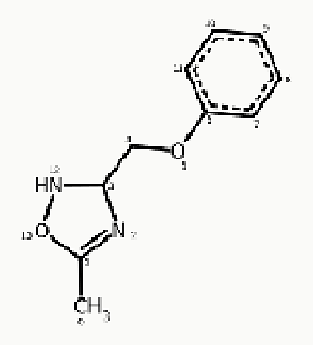 CC1=NC(COc2ccccc2)NO1